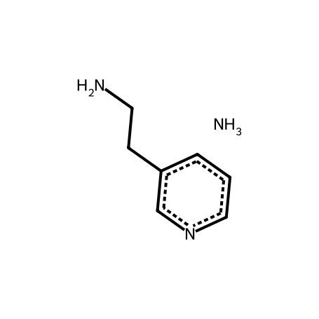 N.NCCc1cccnc1